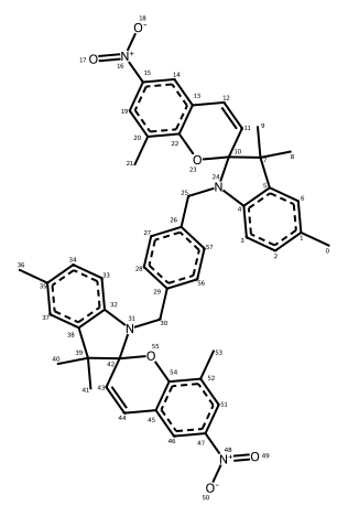 Cc1ccc2c(c1)C(C)(C)C1(C=Cc3cc([N+](=O)[O-])cc(C)c3O1)N2Cc1ccc(CN2c3ccc(C)cc3C(C)(C)C23C=Cc2cc([N+](=O)[O-])cc(C)c2O3)cc1